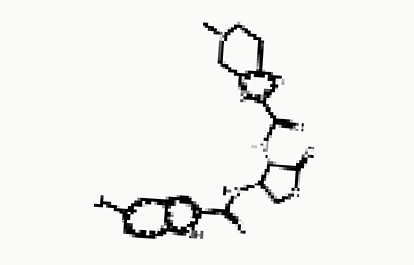 CN1CCc2nc(C(=O)N[C@@H]3C(=O)OC[C@H]3NC(=O)c3cc4cc(Cl)ccc4[nH]3)sc2C1